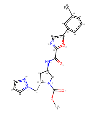 CC(C)(C)OC(=O)N1C[C@H](NC(=O)c2ncc(-c3cccc(C(F)(F)F)c3)o2)C[C@H]1Cn1cccn1